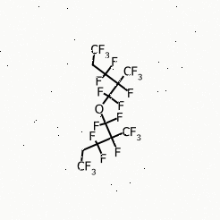 FC(F)(F)CC(F)(F)C(F)(C(F)(F)F)C(F)(F)OC(F)(F)C(F)(C(F)(F)F)C(F)(F)CC(F)(F)F